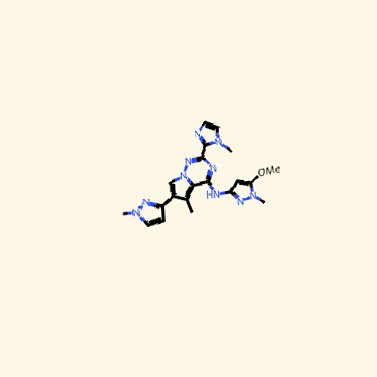 COc1cc(Nc2nc(-c3nccn3C)nn3cc(-c4ccn(C)n4)c(C)c23)nn1C